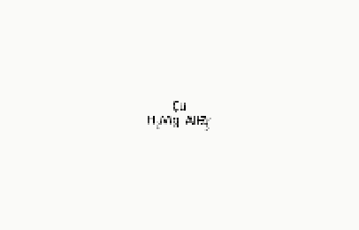 [AlH3].[Cu].[MgH2].[Zr]